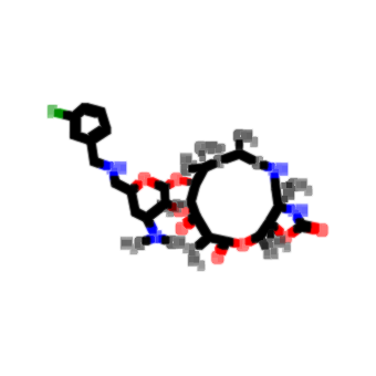 CC[C@H]1OC(=O)C(C)C(=O)[C@H](C)[C@@H](O[C@@H]2OC(CNCc3cccc(F)c3)CC(N(C)C)C2O)[C@](C)(OC)C[C@@H](C)CN[C@H](C)[C@H]2NC(=O)O[C@@]21C